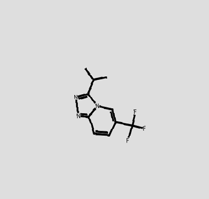 CC(C)c1nnc2ccc(C(F)(F)F)cn12